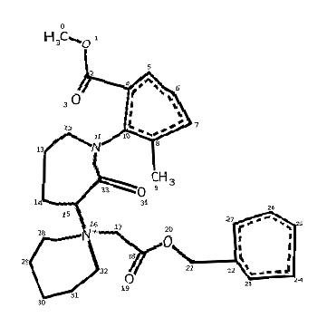 COC(=O)c1cccc(C)c1N1CCCC([N+]2(CC(=O)OCc3ccccc3)CCCCC2)C1=O